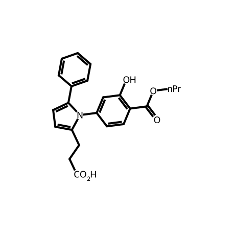 CCCOC(=O)c1ccc(-n2c(CCC(=O)O)ccc2-c2ccccc2)cc1O